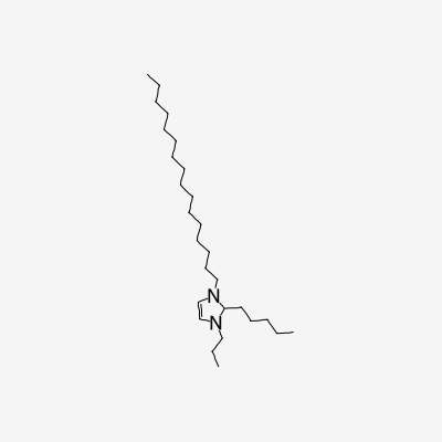 CCCCCCCCCCCCCCCCN1C=CN(CCC)C1CCCCC